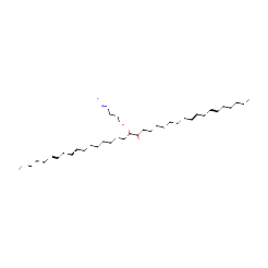 CCCCCC=CCC=CCCCCCCCC(O)C(CCCCCCCC=CCC=CCCCCC)OC(=O)CCCN(C)C